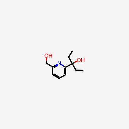 CCC(O)(CC)c1cccc(CO)n1